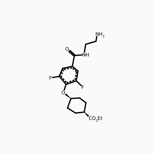 CCOC(=O)[C@H]1CC[C@@H](Oc2c(F)cc(C(=O)NCCN)cc2F)CC1